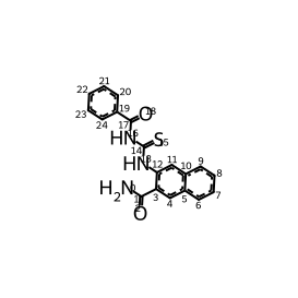 NC(=O)c1cc2ccccc2cc1NC(=S)NC(=O)c1ccccc1